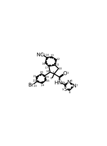 CC1(C(=O)Nc2nncs2)Cc2ccc(C#N)cc2C1c1ccc(Br)cc1